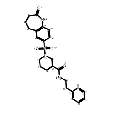 O=C1CCCc2cc(S(=O)(=O)N3CCCC(C(=O)NCCc4ccccn4)C3)ccc2N1